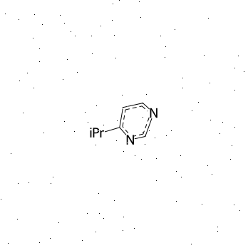 [CH2]C(C)c1ccncn1